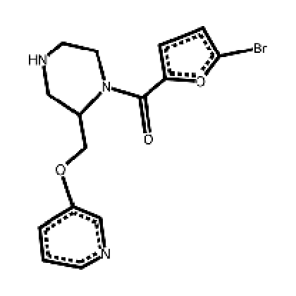 O=C(c1ccc(Br)o1)N1CCNCC1COc1cccnc1